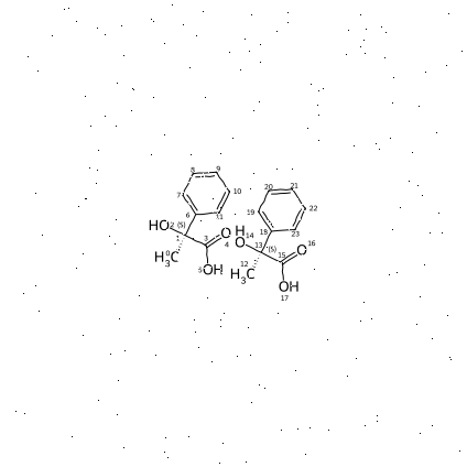 C[C@@](O)(C(=O)O)c1ccccc1.C[C@@](O)(C(=O)O)c1ccccc1